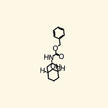 O=C(N[C@@H]1C[C@H]2CCC[C@@H](C1)C2O)OCc1ccccc1